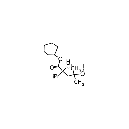 CC(C)C(C)(CC(C)(C)OI)C(=O)OC1CCCCC1